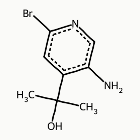 CC(C)(O)c1cc(Br)ncc1N